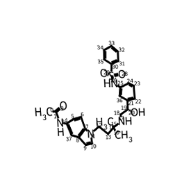 CC(=O)Nc1ccc2c(ccn2CCC(C)(C)NC[C@H](O)c2cccc(NS(=O)(=O)c3ccccc3)c2)c1